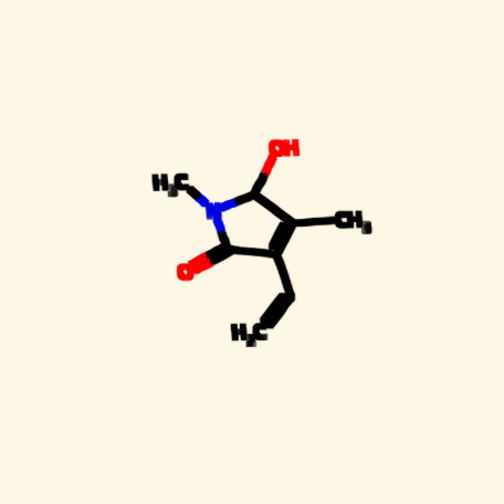 C=CC1=C(C)C(O)N(C)C1=O